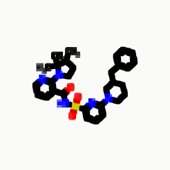 CC1CCN(c2ncccc2C(=O)NS(=O)(=O)c2cccc(N3CCCC(Cc4ccccc4)C3)n2)C1(C)C